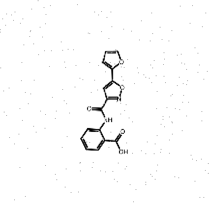 O=C(Nc1ccccc1C(=O)O)c1cc(-c2ccco2)on1